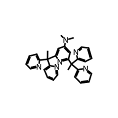 CN(C)c1cc(C(C)(c2ccccn2)c2ccccn2)nc(C(C)(c2ccccn2)c2ccccn2)c1